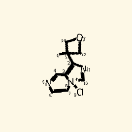 CC1(C2=C3C=NC=C[N+]3(Cl)C=N2)COC1